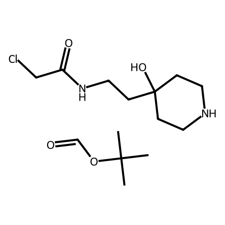 CC(C)(C)OC=O.O=C(CCl)NCCC1(O)CCNCC1